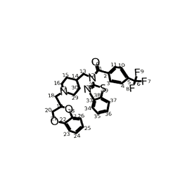 O=C(c1ccc(C(F)(F)F)cc1)N(CC1CCN(CC2COc3ccccc3O2)CC1)c1nc2ccccc2s1